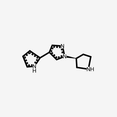 c1c[nH]c(-c2cnn([C@H]3CCNC3)c2)c1